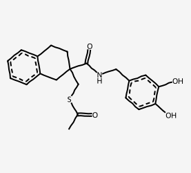 CC(=O)SCC1(C(=O)NCc2ccc(O)c(O)c2)CCc2ccccc2C1